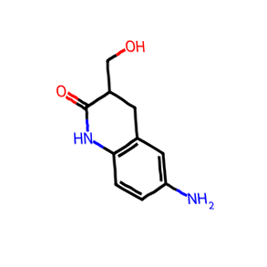 Nc1ccc2c(c1)CC(CO)C(=O)N2